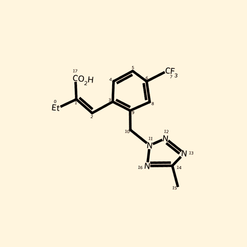 CCC(=Cc1ccc(C(F)(F)F)cc1Cn1nnc(C)n1)C(=O)O